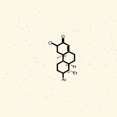 CC[C@@H]1C(C(C)=O)CCC2[C@H]1CCC1=CC(=O)C(Cl)C[C@@]12C